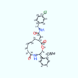 COc1ccccc1[C@@H]1COC(=O)[C@H](CC(=O)NCc2ccc(Cl)cc2)C/C=C/CCC(=O)N1